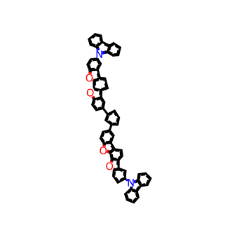 c1cc(-c2ccc3oc4c(ccc5c6cc(-n7c8ccccc8c8ccccc87)ccc6oc54)c3c2)cc(-c2ccc3oc4c(ccc5c6cc(-n7c8ccccc8c8ccccc87)ccc6oc54)c3c2)c1